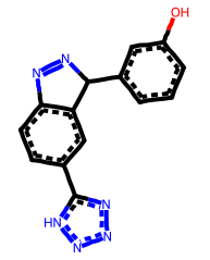 Oc1cccc(C2N=Nc3ccc(-c4nnn[nH]4)cc32)c1